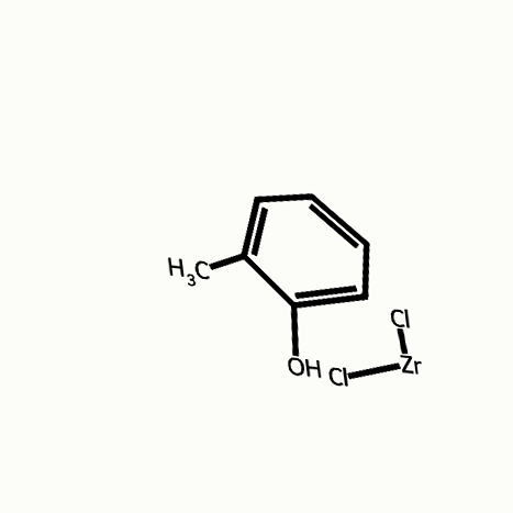 Cc1ccccc1O.[Cl][Zr][Cl]